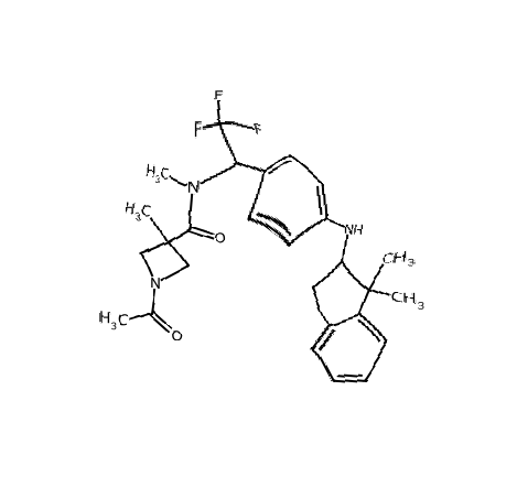 CC(=O)N1CC(C)(C(=O)N(C)C(c2ccc(NC3Cc4ccccc4C3(C)C)cc2)C(F)(F)F)C1